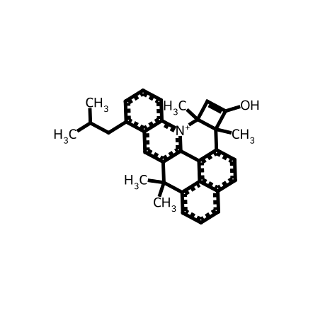 CC(C)Cc1cccc2c1cc1c3[n+]2C2(C)C=C(O)C2(C)c2ccc4cccc(c4c2-3)C1(C)C